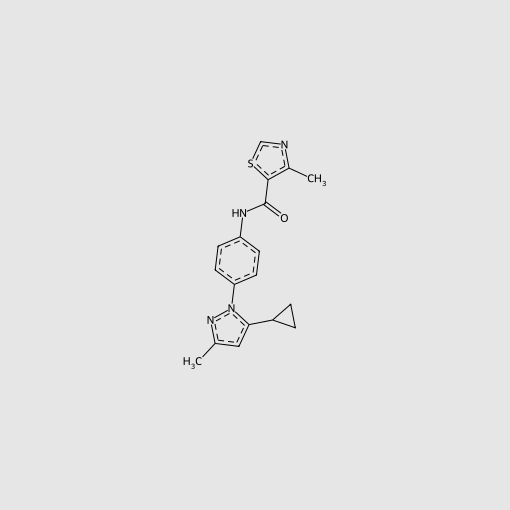 Cc1cc(C2CC2)n(-c2ccc(NC(=O)c3scnc3C)cc2)n1